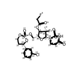 C[C@@]1(F)[C@H](OC(=O)CF)[C@@H](CO[P@@]2(=O)OCC[C@@H](c3cccc(Cl)c3)O2)O[C@H]1n1ccc(=O)[nH]c1=O